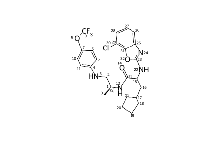 C[C@@H](CNc1ccc(OC(F)(F)F)cc1)NC(=O)C(CC1CCCC1)Nc1nc2cccc(Cl)c2o1